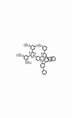 CCCCc1cc(-c2nc(-c3cc(CCCC)cc(C(C)(C)C)c3)nc(-c3ccc(-n4c5ccc(-c6ccccc6)cc5c5cc(-c6ccccc6)ccc54)c(-c4nc(-c5ccccc5)cc(-c5ccccc5)n4)c3)n2)cc(C(C)(C)C)c1